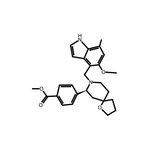 COC(=O)c1ccc([C@@H]2CC3(CCCO3)CCN2Cc2c(OC)cc(C)c3[nH]ccc23)cc1